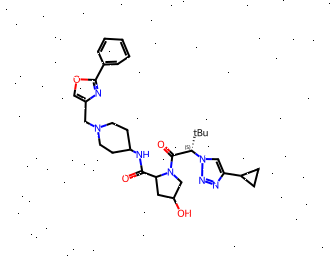 CC(C)(C)[C@@H](C(=O)N1CC(O)CC1C(=O)NC1CCN(Cc2coc(-c3ccccc3)n2)CC1)n1cc(C2CC2)nn1